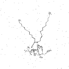 CCCCCCCCCCCCN(C(=O)CCCCCCCCCCC)[C@@H]1O[C@H](CO)[C@H](O)[C@H](O)[C@H]1NC(=O)[C@H](C)N